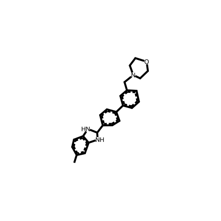 Cc1ccc2c(c1)NC(c1ccc(-c3cccc(CN4CCOCC4)c3)cc1)N2